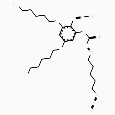 C=C(N=NCCCCCN=[N+]=[N-])Oc1cc(OCCCCCC)cc(OCCCCCC)c1N=BN